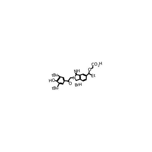 Br.CCC(OCC(=O)O)c1ccc2c(c1)C(=N)N(CC(=O)c1cc(C(C)(C)C)c(O)c(C(C)(C)C)c1)C2